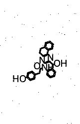 O=C(Cc1ccc(O)cc1)Nc1nc2c(nc1C(O)c1ccccc1)-c1ccccc1CC2